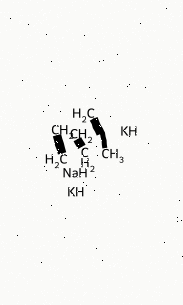 C=C.C=C.C=CC.[KH].[KH].[NaH]